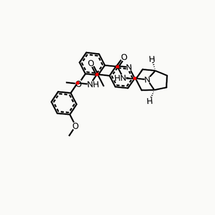 COc1cccc(CNC(=O)c2ccc(N3[C@@H]4CC[C@H]3C[C@@H](NC(=O)c3cccc(OC)c3C)C4)nc2)c1